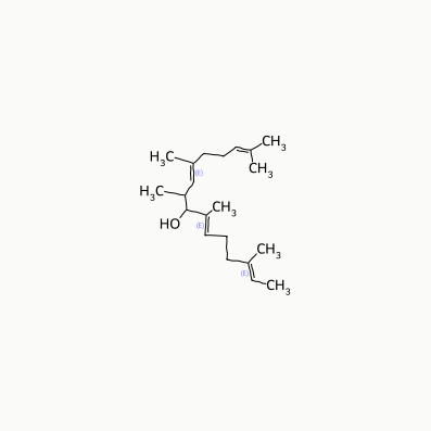 C/C=C(\C)CC/C=C(\C)C(O)C(C)/C=C(\C)CCC=C(C)C